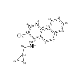 Clc1nnc2c(ccc3ccccc32)c1NCC1CC1